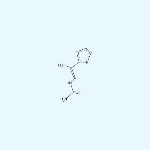 CC(=NNC(N)=S)c1nccs1